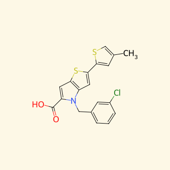 Cc1csc(-c2cc3c(cc(C(=O)O)n3Cc3cccc(Cl)c3)s2)c1